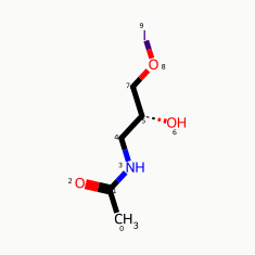 CC(=O)NC[C@@H](O)COI